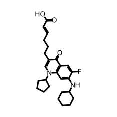 O=C(O)C=CCCCc1cn(C2CCCC2)c2cc(NC3CCCCC3)c(F)cc2c1=O